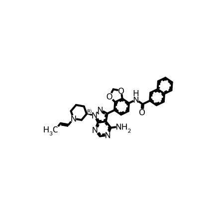 CC=CN1CCC[C@@H](n2nc(-c3ccc(NC(=O)c4ccc5ccccc5c4)c4c3OCO4)c3c(N)ncnc32)C1